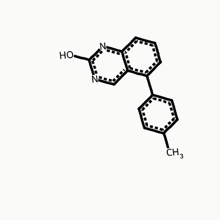 Cc1ccc(-c2cccc3nc(O)ncc23)cc1